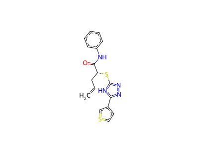 C=CCC(Sc1nnc(-c2ccsc2)[nH]1)C(=O)Nc1ccccc1